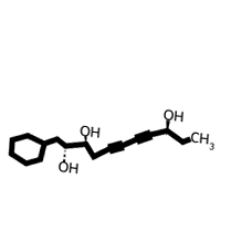 CC[C@H](O)C#CC#CC[C@@H](O)[C@H](O)CC1CCCCC1